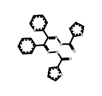 O=C(O/N=C(\C(=N/OC(=O)c1cccs1)c1ccccn1)c1ccccc1)c1cccs1